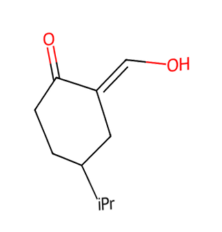 CC(C)C1CCC(=O)C(=CO)C1